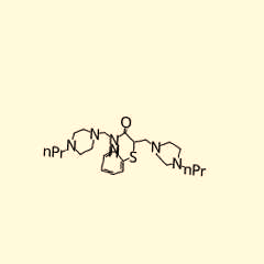 CCCN1CCN(CNC(=O)C(CN2CCN(CCC)CC2)Sc2ccccn2)CC1